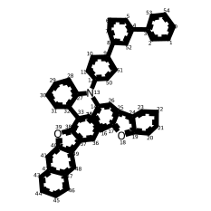 c1ccc(-c2cccc(-c3ccc(N(c4ccc5oc6ccccc6c5c4)c4ccccc4-c4cccc5c4oc4cc6ccccc6cc45)cc3)c2)cc1